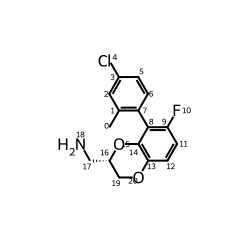 Cc1cc(Cl)ccc1-c1c(F)ccc2c1O[C@@H](CN)CO2